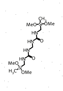 CO[Si](C)(CNC(=O)NCNC(=O)NC[Si](C)(OC)OC)OC